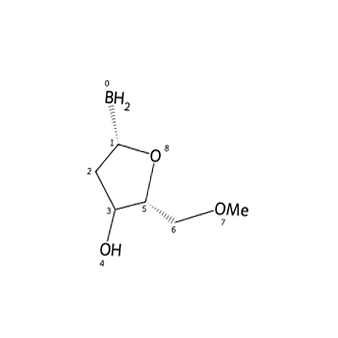 B[C@H]1CC(O)[C@@H](COC)O1